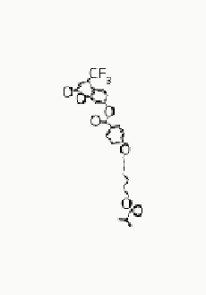 C=C(C)C(=O)OCCCCCCOc1ccc(C(=O)Oc2ccc3c(C(F)(F)F)cc(=O)oc3c2)cc1